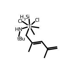 C=C(C)C=C(C)[CH2][Ti]([CH3])([CH3])([SiH3])([Cl])([Cl])[NH]C(C)(C)C